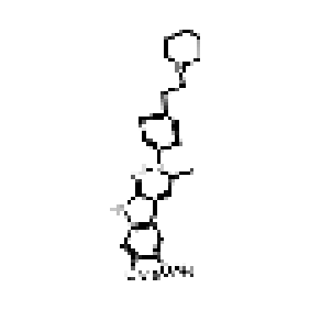 COc1cc2c(cc1OC)C(=CC(C)Nc1ccc(CCN3CCCCC3)cc1)C(=O)N2